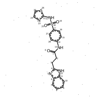 O=C(CCc1nc2ccccc2[nH]1)Nc1ccc(S(=O)(=O)Nc2nccs2)cc1